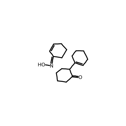 O=C1CCCCC1C1=CCCCC1.ON=C1C=CCCC1